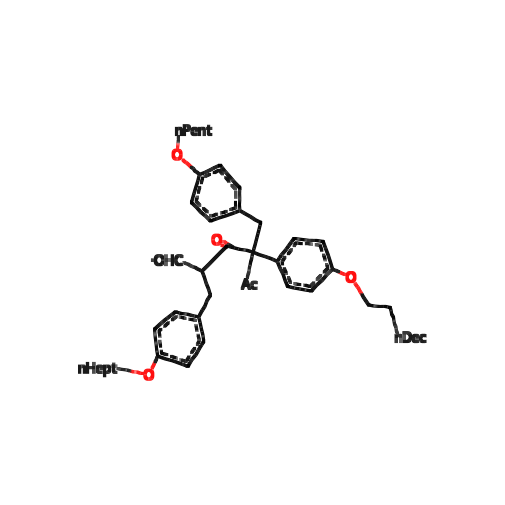 CCCCCCCCCCCCOc1ccc(C(Cc2ccc(OCCCCC)cc2)(C(C)=O)C(=O)C([C]=O)Cc2ccc(OCCCCCCC)cc2)cc1